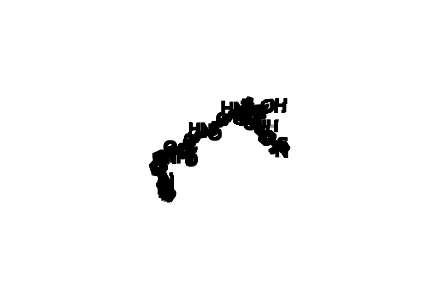 COc1cc(C(=O)N[C@@H]2CCc3ccc(-c4cn5c(n4)CCC5)cc32)cc(OCCCNC(=O)CCOCCC(=O)N[C@H](C(=O)N2C[C@H](O)C[C@H]2C(=O)NCc2ccc(-c3scnc3C)cc2)C(C)(C)C)c1C